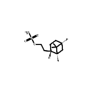 CC1(C)[C@H]2CC[C@@H](CCOS(N)(=O)=O)[C@@H]1C2